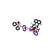 CC(C)[Si](C#Cc1c(F)ccc2cccc(-c3ncc4c(N5CC6CCC(C5)N6C(=O)OC(C)(C)C)nc(OC[C@@]56CCCN5[C@@H](CO[Si](c5ccccc5)(c5ccccc5)C(C)(C)C)CC6)nc4c3F)c12)(C(C)C)C(C)C